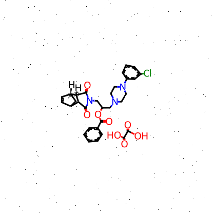 O=C(O)C(=O)O.O=C(OC(CN1CCN(c2cccc(Cl)c2)CC1)CN1C(=O)C2C3C=C[C@@H](C3)[C@@H]2C1=O)c1ccccc1